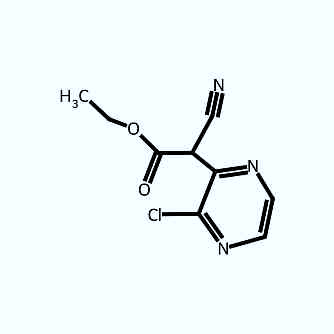 CCOC(=O)C(C#N)c1nccnc1Cl